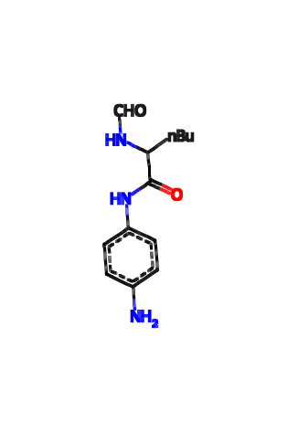 CCCCC(NC=O)C(=O)Nc1ccc(N)cc1